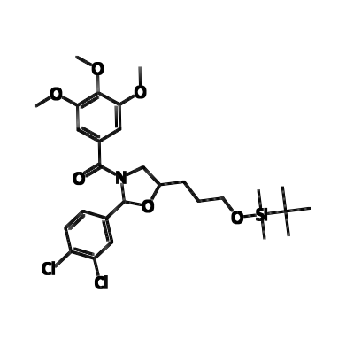 COc1cc(C(=O)N2CC(CCCO[Si](C)(C)C(C)(C)C)OC2c2ccc(Cl)c(Cl)c2)cc(OC)c1OC